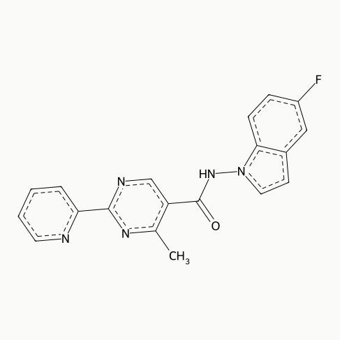 Cc1nc(-c2ccccn2)ncc1C(=O)Nn1ccc2cc(F)ccc21